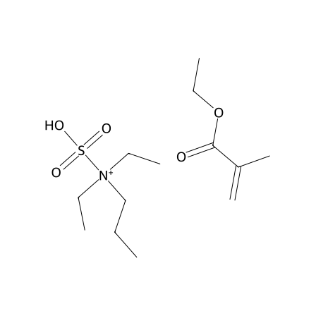 C=C(C)C(=O)OCC.CCC[N+](CC)(CC)S(=O)(=O)O